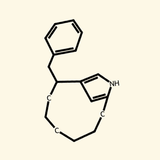 c1ccc(CC2CCCCCCc3cc2c[nH]3)cc1